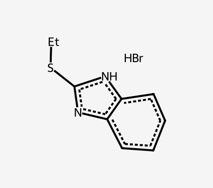 Br.CCSc1nc2ccccc2[nH]1